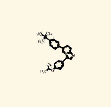 CC(C)Oc1ccc(-c2cnc3ccc(-c4ccc(C(C)(C)O)cc4)cn23)cc1